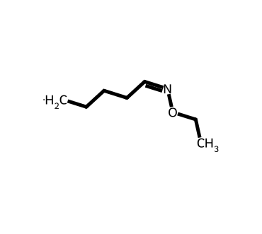 [CH2]CCC/C=N\OCC